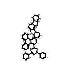 c1ccc(-c2nc(-c3ccccc3)nc(-c3cccc4c3c3ccccc3c3cccc(-n5c6ccccc6c6c7sc8ccccc8c7ccc65)c34)n2)cc1